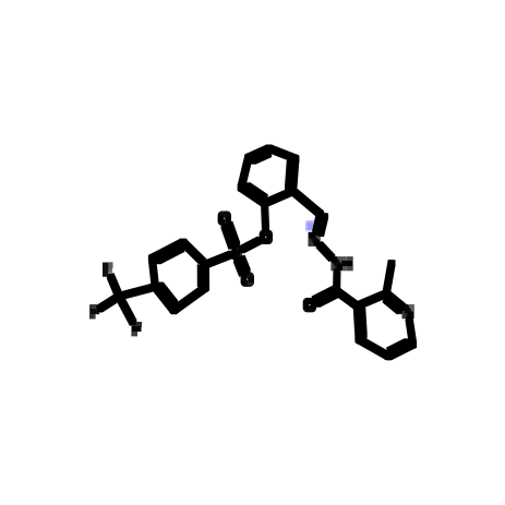 Cc1ncccc1C(=O)N/N=C/c1ccccc1OS(=O)(=O)c1ccc(C(F)(F)F)cc1